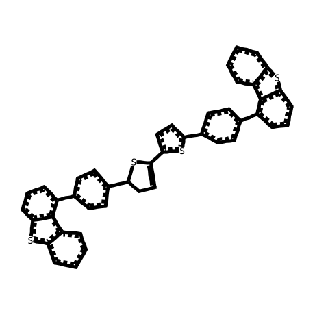 C1=C(c2ccc(-c3ccc(-c4cccc5sc6ccccc6c45)cc3)s2)SC(c2ccc(-c3cccc4sc5ccccc5c34)cc2)C1